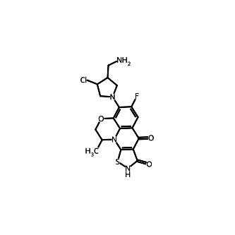 CC1COc2c(N3CC(Cl)C(CN)C3)c(F)cc3c(=O)c4c(=O)[nH]sc4n1c23